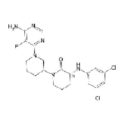 Nc1ncnc(N2CCCC(N3CCC[C@@H](Nc4cc(Cl)cc(Cl)c4)C3=O)C2)c1F